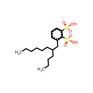 CCCCCCC(CCCC)Cc1cccc(S(=O)(=O)O)c1S(=O)(=O)O